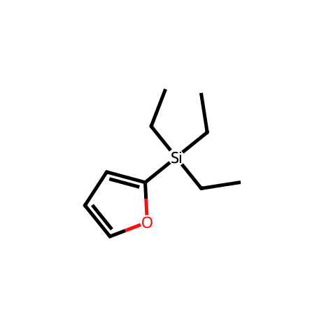 CC[Si](CC)(CC)c1ccco1